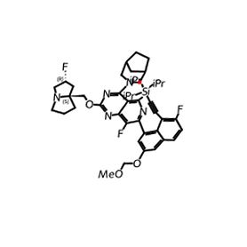 COCOc1cc(-c2nc(C)c3c(N4CC5CCC(C5)C4)nc(OC[C@@]45CCCN4C[C@H](F)C5)nc3c2F)c2c(C#C[Si](C(C)C)(C(C)C)C(C)C)c(F)ccc2c1